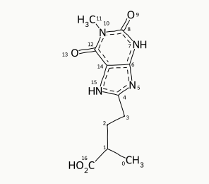 CC(CCc1nc2[nH]c(=O)n(C)c(=O)c2[nH]1)C(=O)O